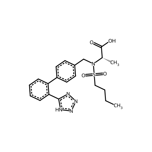 CCCCS(=O)(=O)N(Cc1ccc(-c2ccccc2-c2nnn[nH]2)cc1)[C@@H](C)C(=O)O